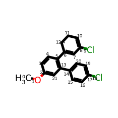 COc1ccc(C2=CC(Cl)=CC[CH]2)c(-c2ccc(Cl)cc2)c1